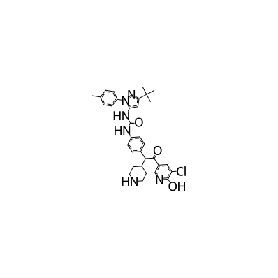 Cc1ccc(-n2nc(C(C)(C)C)cc2NC(=O)Nc2ccc(C(C(=O)c3cnc(O)c(Cl)c3)C3CCNCC3)cc2)cc1